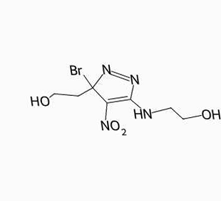 O=[N+]([O-])C1=C(NCCO)N=NC1(Br)CCO